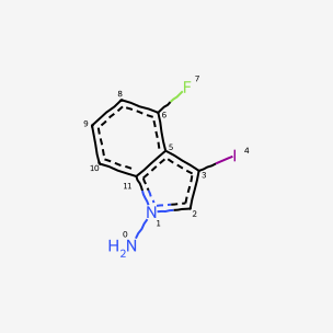 Nn1cc(I)c2c(F)cccc21